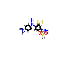 CN(C)c1ccc(Nc2ccc(NS(C)(=O)=O)cc2S)cc1